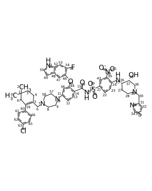 CC1(C)CCC(CN2CCN(c3ccc(C(=O)NS(=O)(=O)c4ccc(N[C@H]5CCN(Cc6cscn6)C[C@H]5O)c([N+](=O)[O-])c4)c(Oc4cc5cc[nH]c5cc4F)c3)CC2)=C(c2ccc(Cl)cc2)C1